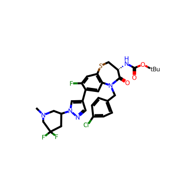 CN1CC(n2cc(-c3cc4c(cc3F)SC[C@H](NC(=O)OC(C)(C)C)C(=O)N4Cc3ccc(Cl)cc3)cn2)CC(F)(F)C1